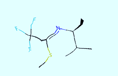 CS/C(=N\[C@@H](C)C(C)C)C(F)(F)F